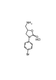 Cl.NCC1CN(c2ccc(Br)cc2)C(=O)O1